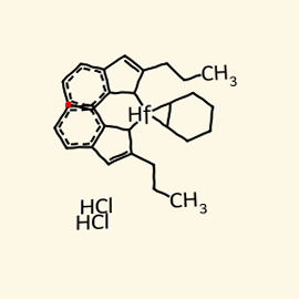 CCCC1=Cc2ccccc2[CH]1[Hf]1([CH]2C(CCC)=Cc3ccccc32)[CH]2CCCC[CH]21.Cl.Cl